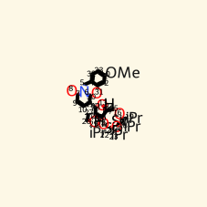 COc1ccc(CN2C(=O)C=CC([C@@H]3O[C@@H]4CO[Si](C(C)C)(C(C)C)O[Si](C(C)C)(C(C)C)O[C@H]4[C@]34CCO4)C2=O)cc1